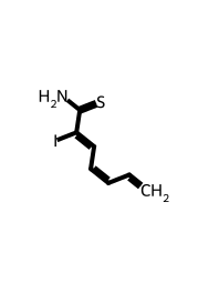 C=C/C=C\C=C(/I)C(N)=S